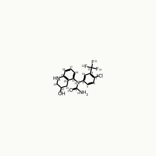 NC(=O)N(c1ccc(Cl)c(C(F)(F)F)c1)c1cccc2c1CC(O)CN2